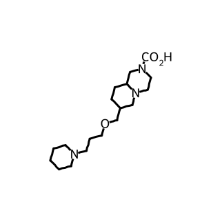 O=C(O)N1CCN2CC(COCCCN3CCCCC3)CCC2C1